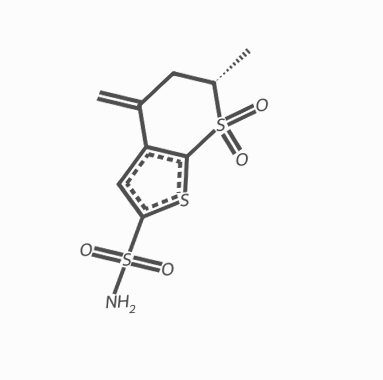 C=C1C[C@H](C)S(=O)(=O)c2sc(S(N)(=O)=O)cc21